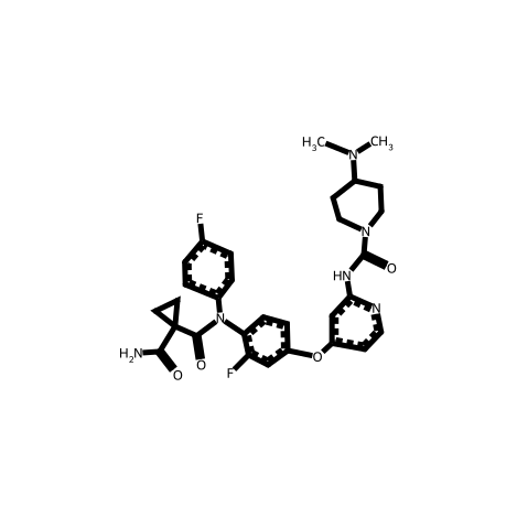 CN(C)C1CCN(C(=O)Nc2cc(Oc3ccc(N(C(=O)C4(C(N)=O)CC4)c4ccc(F)cc4)c(F)c3)ccn2)CC1